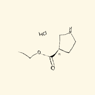 CCOC(=O)[C@@H]1CCNC1.Cl